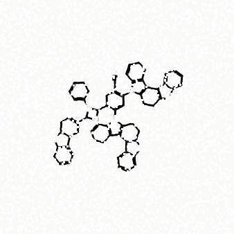 N#CC1=C(n2c3c(c4c2CCc2sc5ccccc5c2-4)CCC=C3)C=C(n2c3c(c4c2CCC2Sc5ccccc5C42)CCC=C3)C(C2NC(C3=CCC4OC5CC=CC=C5C4C3)N2C2=CC=CCC2)C1